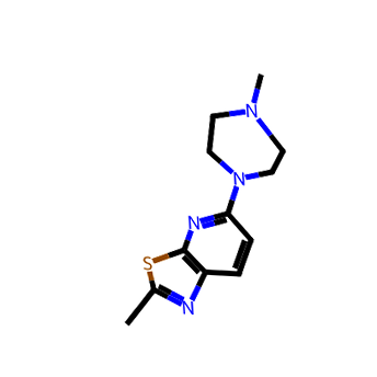 Cc1nc2ccc(N3CCN(C)CC3)nc2s1